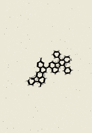 Cc1ccc2c(c1)c(-c1ccc3c4c(cccc14)-c1c-3c(-c3ccccc3)c3ccncc3c1-c1ccccc1)cc1c3ccc(C)c4c3c(cc21)-c1ncccc1-4